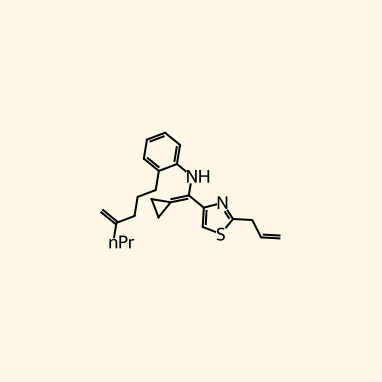 C=CCc1nc(C(Nc2ccccc2CCCC(=C)CCC)=C2CC2)cs1